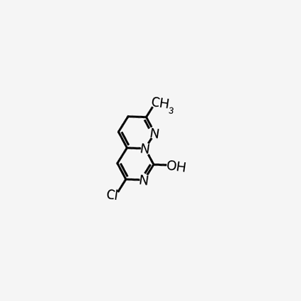 CC1=NN2C(=CC1)C=C(Cl)N=C2O